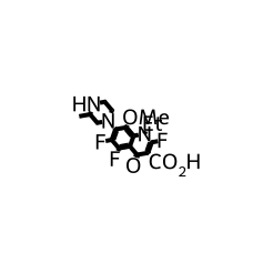 CCn1c(F)c(C(=O)O)c(=O)c2c(F)c(F)c(N3CCNC(C)C3)c(OC)c21